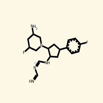 N=C/N=C\NC1CC(c2ccc(F)cc2)CC1N1CC(N)CC(F)C1